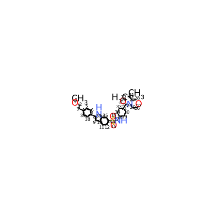 COCCc1ccc(-c2cc3ccc(S(=O)(=O)NC4CCC(C(=O)N5CCOCC5C(C)C)CC4)cc3[nH]2)cc1